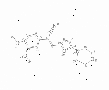 COc1ccc(C(C#N)=Cc2ccc(N3CCOCC3)o2)cc1OC